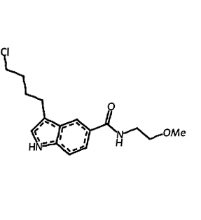 COCCNC(=O)c1ccc2[nH]cc(CCCCCl)c2c1